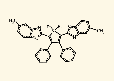 CC[Si]1(CC)C(c2nc3cc(C)ccc3o2)=C(c2ccccc2)C(c2ccccc2)=C1c1nc2cc(C)ccc2o1